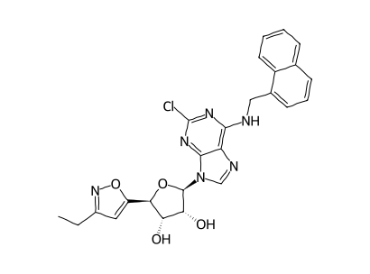 CCc1cc([C@H]2O[C@@H](n3cnc4c(NCc5cccc6ccccc56)nc(Cl)nc43)[C@H](O)[C@@H]2O)on1